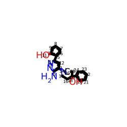 Nc1nnc(-c2ccccc2O)cc1N1CCC(O)(c2ccccc2)CC1